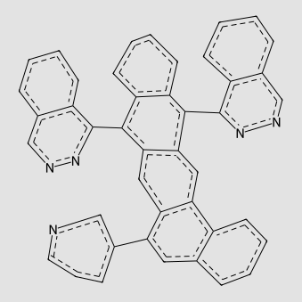 c1cncc(-c2cc3ccccc3c3cc4c(-c5nncc6ccccc56)c5ccccc5c(-c5nncc6ccccc56)c4cc23)c1